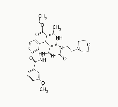 CCOC(=O)C1=C(C)Nc2c(c(NNC(=O)c3cccc(OC)c3)nc(=O)n2CCN2CCOCC2)C1c1ccccc1